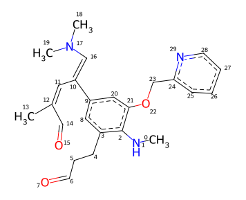 CNc1c(CCC=O)cc(C(/C=C(/C)C=O)=C/N(C)C)cc1OCc1ccccn1